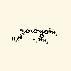 CCN(CC[n+]1ccn(C)c1)c1ccc(N=Nc2ccc(C=NN=C(c3ccc(N(C)C)cc3)c3ccc(N(C)C)cc3)cc2)cc1